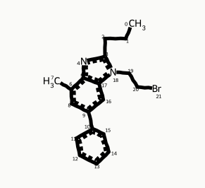 CCCc1nc2c(C)cc(-c3ccccc3)cc2n1CCBr